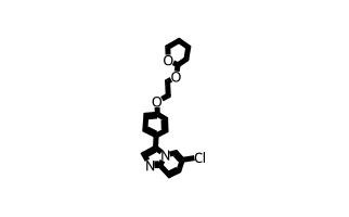 Clc1ccc2ncc(-c3ccc(OCCOC4CCCCO4)cc3)n2c1